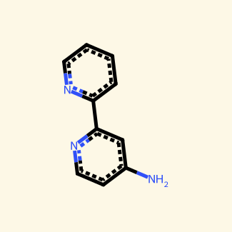 Nc1ccnc(-c2ccccn2)c1